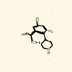 CC(=O)NC(C)c1cc(Cl)ccc1C1CCNCC1.Cl